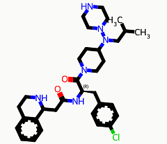 CC(C)CN(C1CCN(C(=O)[C@@H](Cc2ccc(Cl)cc2)NC(=O)CC2NCCc3ccccc32)CC1)N1CCNCC1